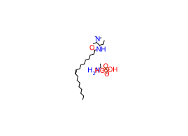 CCCCCCCC/C=C\CCCCCCCC(=O)NC(CC)C(C)N(C)C.CCN.O=S(=O)(O)O